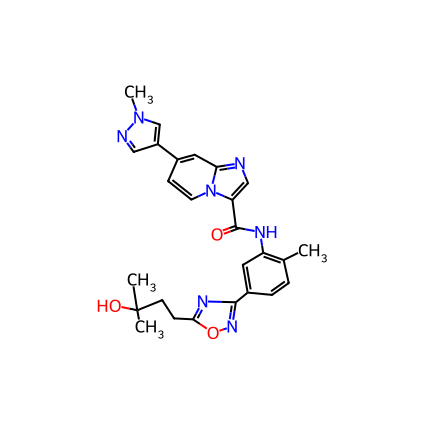 Cc1ccc(-c2noc(CCC(C)(C)O)n2)cc1NC(=O)c1cnc2cc(-c3cnn(C)c3)ccn12